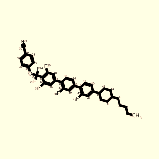 CCCCCC1CCC(c2ccc(-c3ccc(-c4cc(F)c(C(F)(F)Oc5ccc(C#N)cc5)c(F)c4)c(F)c3)c(F)c2)CC1